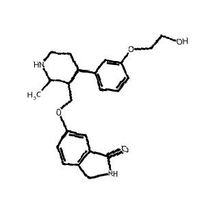 CC1NCCC(c2cccc(OCCO)c2)C1COc1ccc2c(c1)C(=O)NC2